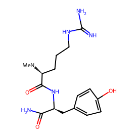 CN[C@@H](CCCNC(=N)N)C(=O)N[C@@H](Cc1ccc(O)cc1)C(N)=O